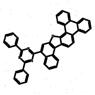 c1ccc(-c2nc(-c3ccccc3)nc(-c3cc4oc5c(ccc6c7ccccc7c7ccccc7c65)c4c4ccccc34)n2)cc1